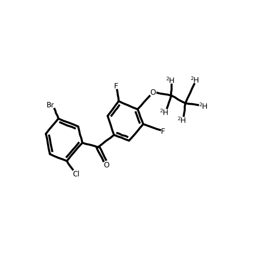 [2H]C([2H])([2H])C([2H])([2H])Oc1c(F)cc(C(=O)c2cc(Br)ccc2Cl)cc1F